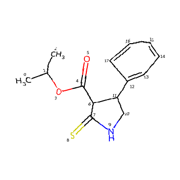 CC(C)OC(=O)C1C(=S)NCC1c1ccccc1